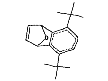 CC(C)(C)c1ccc(C(C)(C)C)c2c1C1C=CC2O1